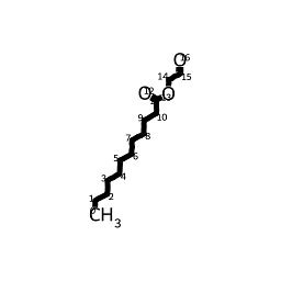 CCCCCCCCCCCC(=O)OCC=O